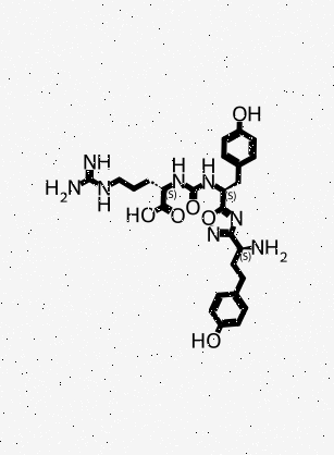 N=C(N)NCCC[C@H](NC(=O)N[C@@H](Cc1ccc(O)cc1)c1nc([C@@H](N)CCc2ccc(O)cc2)no1)C(=O)O